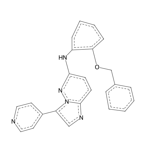 c1ccc(COc2ccccc2Nc2ccc3ncc(-c4ccncc4)n3n2)cc1